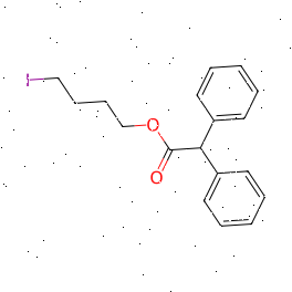 O=C(OCCCCI)C(c1ccccc1)c1ccccc1